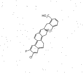 O=C(O)c1cccc(C(=O)O)c1CC1C=c2ccc3c(c2CC1)CC=c1cc(Cl)c(F)cc1=3